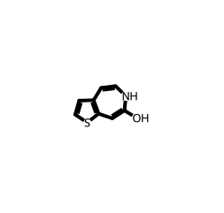 OC1=Cc2sccc2C=CN1